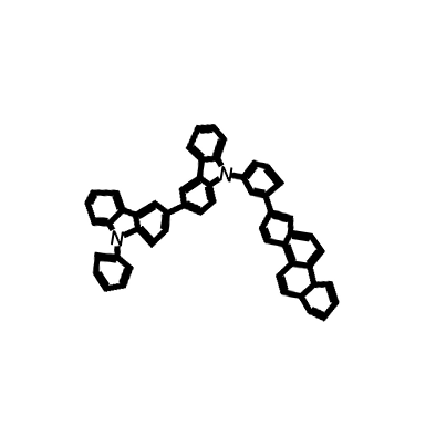 C1=CC2C=Cc3c(ccc4cc(-c5cccc(-n6c7ccccc7c7cc(-c8ccc9c(c8)c8ccccc8n9-c8ccccc8)ccc76)c5)ccc34)C2C=C1